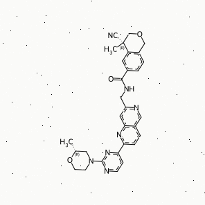 C[C@@H]1CN(c2nccc(-c3ccc4cnc(CNC(=O)c5ccc6c(c5)[C@](C)(C#N)COC6)cc4n3)n2)CCO1